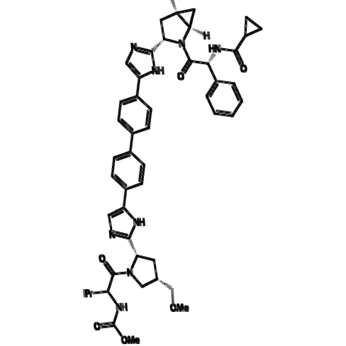 COC[C@H]1C[C@@H](c2ncc(-c3ccc(-c4ccc(-c5cnc([C@@H]6C[C@H]7C[C@H]7N6C(=O)[C@H](NC(=O)C6CC6)c6ccccc6)[nH]5)cc4)cc3)[nH]2)N(C(=O)C(NC(=O)OC)C(C)C)C1